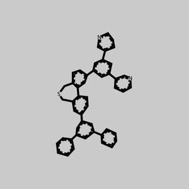 c1ccc(-c2cc(-c3ccccc3)cc(-c3ccc4c(c3)CSCc3ccc(-c5cc(-c6cccnc6)cc(-c6cccnc6)c5)cc3-4)c2)cc1